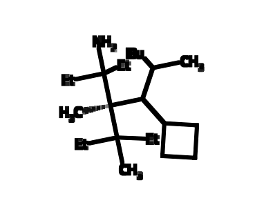 CCC(C)C(C)C(C1CCC1)[C@@](C)(C(C)(CC)CC)C(N)(CC)CC